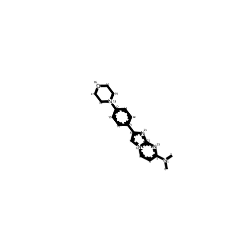 CN(C)c1ccn2cc(-c3ccc(N4CCOCC4)cc3)nc2n1